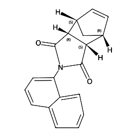 O=C1[C@@H]2[C@H](C(=O)N1c1cccc3ccccc13)[C@@H]1C=C[C@H]2C1